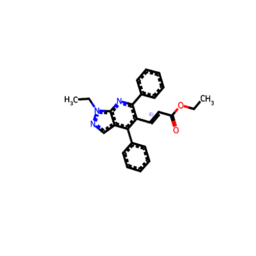 CCOC(=O)/C=C/c1c(-c2ccccc2)nc2c(cnn2CC)c1-c1ccccc1